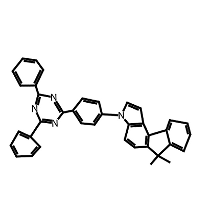 CC1(C)c2ccccc2-c2c1ccc1c2ccn1-c1ccc(-c2nc(-c3ccccc3)nc(-c3ccccc3)n2)cc1